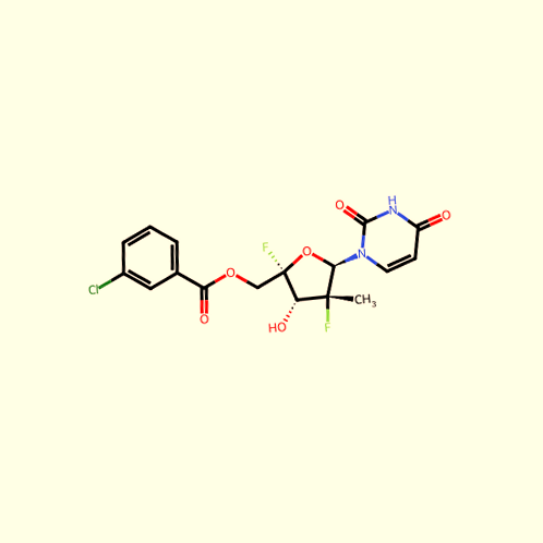 C[C@]1(F)[C@H](n2ccc(=O)[nH]c2=O)O[C@](F)(COC(=O)c2cccc(Cl)c2)[C@H]1O